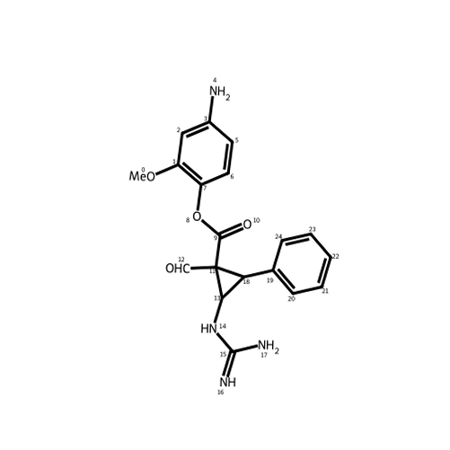 COc1cc(N)ccc1OC(=O)C1(C=O)C(NC(=N)N)C1c1ccccc1